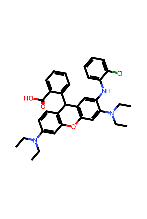 CCN(CC)c1ccc2c(c1)Oc1cc(N(CC)CC)c(Nc3ccccc3Cl)cc1C2c1ccccc1C(=O)O